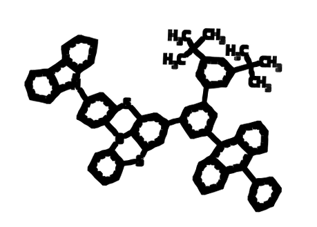 CC(C)(C)c1cc(-c2cc(-c3cc4c5c(c3)Sc3cc(-n6c7ccccc7c7ccccc76)ccc3B5c3ccccc3S4)cc(-c3c4ccccc4c(-c4ccccc4)c4ccccc34)c2)cc(C(C)(C)C)c1